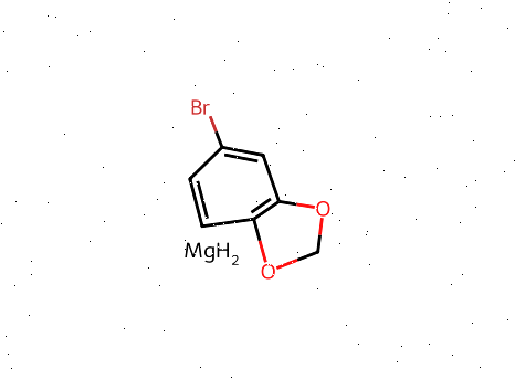 Brc1ccc2c(c1)OCO2.[MgH2]